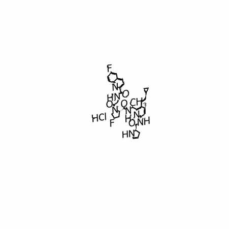 C[C@@H](NC(=O)[C@@H]1C[C@@H](F)CN1C(=O)CNC(=O)c1ccc2cc(F)ccc2n1)c1nc(NC(=O)[C@H]2CCCN2)ccc1/C=C/C1CC1.Cl